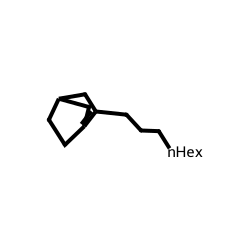 CCCCCCCCCC1=C2CCC(C1)C2